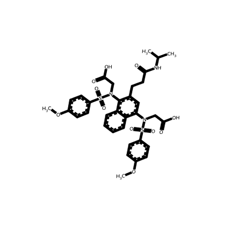 COc1ccc(S(=O)(=O)N(CC(=O)O)c2cc(CCC(=O)NC(C)C)c(N(CC(=O)O)S(=O)(=O)c3ccc(OC)cc3)c3ccccc23)cc1